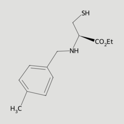 CCOC(=O)[C@H](CS)NCc1ccc(C)cc1